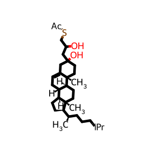 CC(=O)SCC(O)CC1(O)CC[C@@]2(C)C(=CC[C@H]3[C@@H]4CC[C@H]([C@H](C)CCCC(C)C)[C@@]4(C)CC[C@@H]32)C1